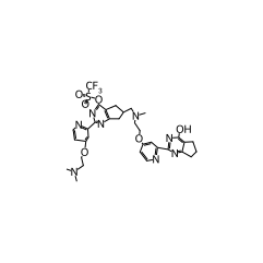 CN(C)CCOc1ccnc(-c2nc3c(c(OS(=O)(=O)C(F)(F)F)n2)CC(CN(C)CCOc2ccnc(-c4nc(O)c5c(n4)CCC5)c2)C3)c1